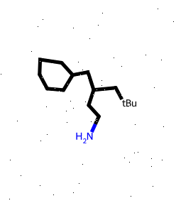 CC(C)(C)CC(CCN)C[C]1CCCCC1